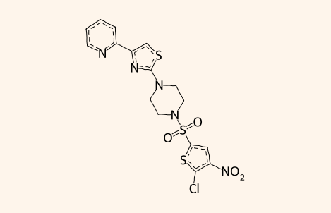 O=[N+]([O-])c1cc(S(=O)(=O)N2CCN(c3nc(-c4ccccn4)cs3)CC2)sc1Cl